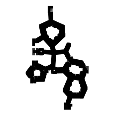 CC(n1cnc2ccc(Br)cc2c1=O)C(O)(Cn1cncn1)c1ccc(F)cc1F